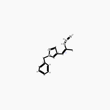 C/C(=C/c1cnn(Cc2ccccc2)c1)N=[N+]=[N-]